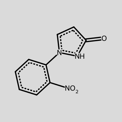 O=c1ccn(-c2ccccc2[N+](=O)[O-])[nH]1